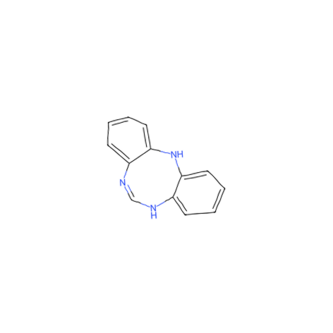 c1ccc2[nH]c3ccccc3[nH]cnc2c1